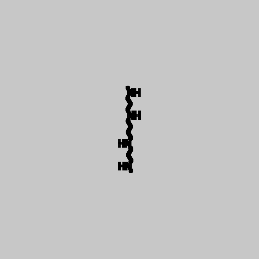 CNCCCNCCCCNCCCNC